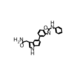 NC(=O)Cc1c[nH]c2ccc(-c3ccc4oc(Nc5ccccc5)nc4c3)cc12